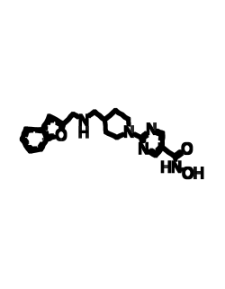 O=C(NO)c1cnc(N2CCC(CNCc3cc4ccccc4o3)CC2)nc1